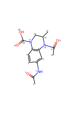 CC(=O)Nc1ccc2c(c1)N(C(C)=O)C(C)CN2C(=O)O